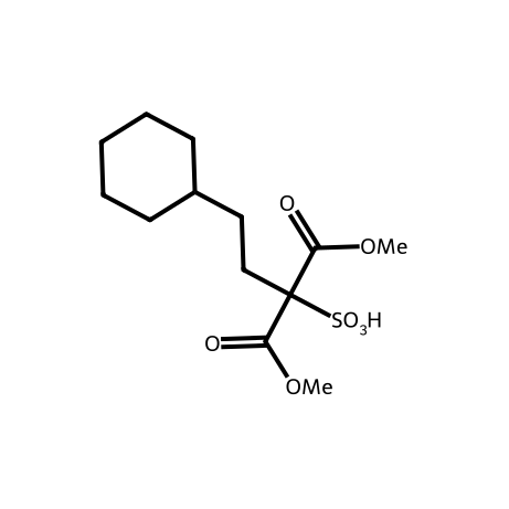 COC(=O)C(CCC1CCCCC1)(C(=O)OC)S(=O)(=O)O